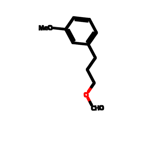 COc1cccc(CCCOC=O)c1